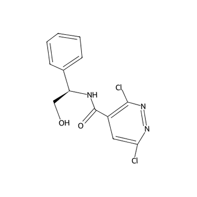 O=C(N[C@@H](CO)c1ccccc1)c1cc(Cl)nnc1Cl